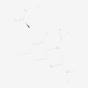 CN1CCC[C@@H]1COc1c(F)cc2c(=O)c(C(=O)O)cn(C3CC3)c2c1Cl